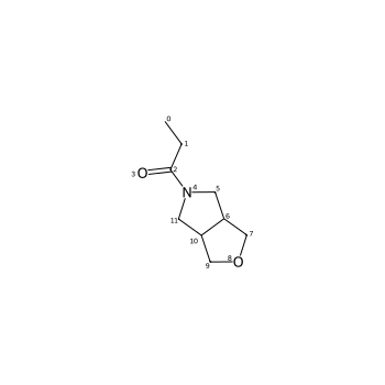 CCC(=O)N1CC2COCC2C1